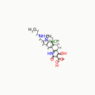 CCCNCc1cc2cc3c(cc2n1C)CCc1c-3[nH]c(=O)c(C(=O)O)c1O.Cl